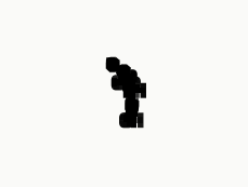 O=C1Oc2ccc(-c3ccccc3)cc2C(=O)/C1=C/NCCN1CCN(CCO)CC1